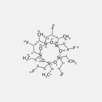 CC[Si]1(CCF)O[Si](CC)(CCF)O[Si](CC)(CCF)O[Si](CC)(CCF)O[Si](CC)(CCF)O1